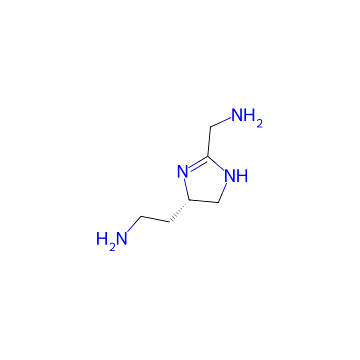 NCC[C@H]1CNC(CN)=N1